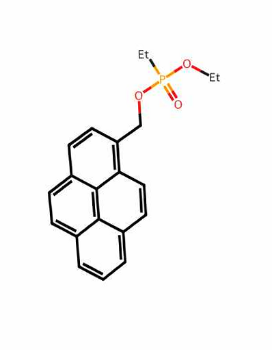 CCOP(=O)(CC)OCc1ccc2ccc3cccc4ccc1c2c34